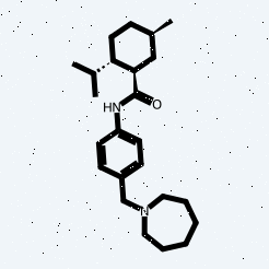 CC(C)[C@@H]1CC[C@@H](C)C[C@H]1C(=O)Nc1ccc(CN2CCCCCC2)cc1